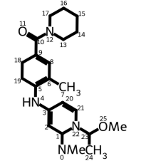 CNC1C=C(NC2=C(C)C=C(C(=O)N3CCCCC3)CC2)C=CN1C(C)OC